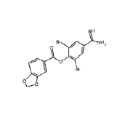 N=C(N)c1cc(Br)c(OC(=O)c2ccc3c(c2)OCO3)c(Br)c1